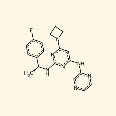 C[C@H](Nc1nc(Nc2cnccn2)cc(N2C[CH]C2)n1)c1ccc(F)cc1